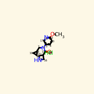 COc1ccc(N(CC2CC2)C(=O)C2CNC2)cn1.Cl